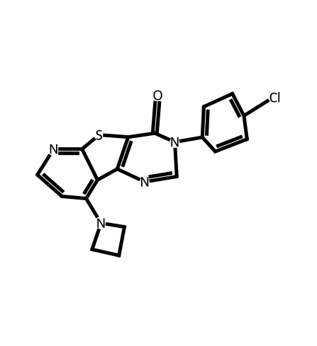 O=c1c2sc3nccc(N4CCC4)c3c2ncn1-c1ccc(Cl)cc1